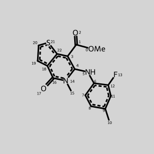 COC(=O)c1c(Nc2ccc(C)cc2F)n(C)c(=O)c2ccsc12